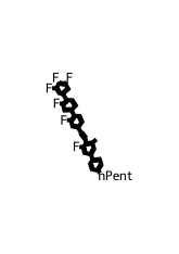 CCCCCc1ccc(-c2cc(C)c(C#Cc3ccc(-c4ccc(-c5cc(F)c(F)c(F)c5)c(F)c4)c(F)c3)c(F)c2)cc1